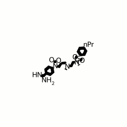 CCCc1ccc(S(=O)(=O)N(C)CCN(C)CC2CN(c3ccc(C(=N)N)cc3)C(=O)O2)cc1